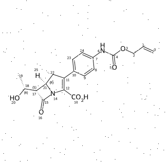 C=CCOC(=O)Nc1ccc(C2=C(C(=O)O)N3C(=O)[C@H]([C@@H](C)O)[C@H]3C2)cc1